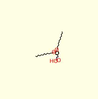 CCCCCCCCCCCCOc1ccc(/C=C/C(=O)O)cc1OCCCCCCCCCCCC